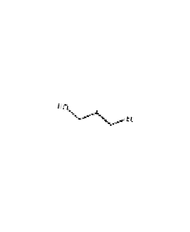 CCC[CH]CO